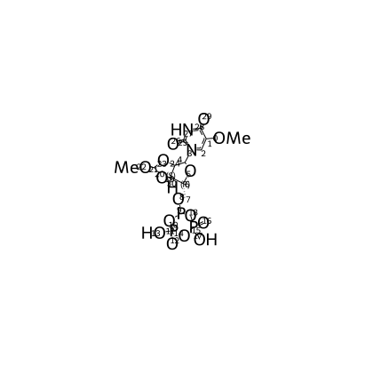 COc1cn(C2O[C@H](COP3OP(=O)(O)OP(=O)(O)O3)[C@@H]3OC(OC)OC23)c(=O)[nH]c1=O